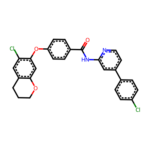 O=C(Nc1cc(-c2ccc(Cl)cc2)ccn1)c1ccc(Oc2cc3c(cc2Cl)CCCO3)cc1